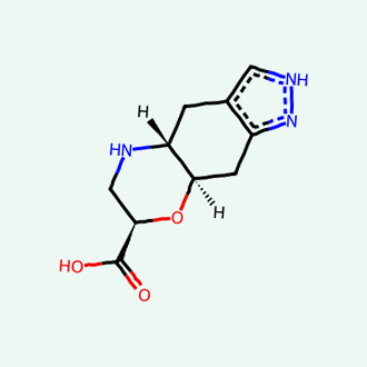 O=C(O)[C@H]1CN[C@@H]2Cc3c[nH]nc3C[C@H]2O1